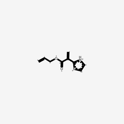 C=CCOC(=O)C(=C)c1ncc[nH]1